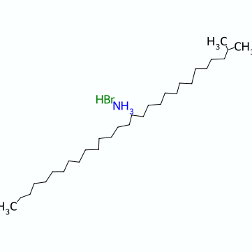 Br.CCCCCCCCCCCCCCCCCCCCCCCCCCCC(C)C.N